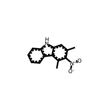 Cc1cc2[nH]c3ccccc3c2c(C)c1[N+](=O)[O-]